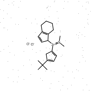 C[Si](C)=[Zr+2]([C]1=CC=C(C(C)(C)C)C1)[CH]1C=CC2=C1CCCC2.[Cl-].[Cl-]